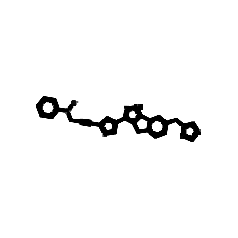 [O-][S+](CC#Cc1cc(-c2n[nH]c3c2Cc2ccc(Cn4cncn4)cc2-3)cs1)c1ccccc1